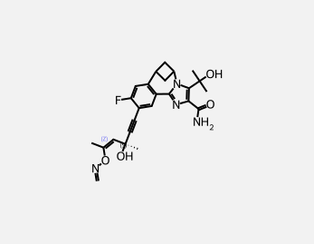 C=NO/C(C)=C\[C@](C)(O)C#Cc1cc2c(cc1F)C1CC(C1)n1c-2nc(C(N)=O)c1C(C)(C)O